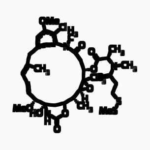 COc1cc2cc(c1Cl)N(C)C(=O)C[C@H](OC(=O)[C@@H](C)N(C)C(=O)CCSSC)C1(C)O[C@H]1[C@H](C)C1C[C@@](O)(NC(=O)O1)[C@H](OC)/C=C/C=C(\C)C2